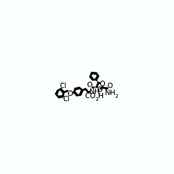 NC(=O)C1O[C@H](c2ccccc2)[C@H](C(=O)N[C@@H](Cc2ccc(OCc3c(Cl)cccc3Cl)cc2)C(=O)O)O1